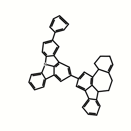 C1=C2CCC3c4ccccc4-c4cc(-c5cc6c7ccccc7n7c8ccc(-c9ccccc9)cc8c(c5)c67)cc(c43)C2CCC1